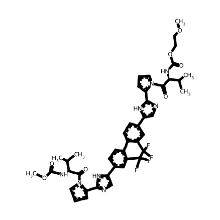 COCCOC(=O)N[C@H](C(=O)n1cccc1-c1ncc(-c2ccc3c(c2)C(F)(F)C(F)(F)c2cc(-c4cnc(-c5cccn5C(=O)[C@@H](NC(=O)OC)C(C)C)[nH]4)ccc2-3)[nH]1)C(C)C